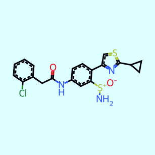 N[S+]([O-])c1cc(NC(=O)Cc2ccccc2Cl)ccc1-c1csc(C2CC2)n1